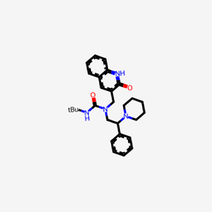 CC(C)(C)NC(=O)N(Cc1cc2ccccc2[nH]c1=O)CC(c1ccccc1)N1CCCCC1